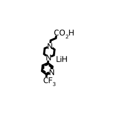 O=C(O)CCN1CCN(c2ccc(C(F)(F)F)nc2)CC1.[LiH]